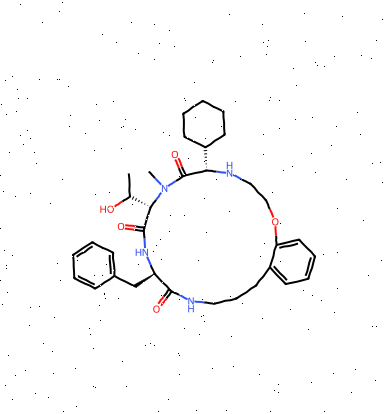 CC(O)[C@H]1C(=O)N[C@H](Cc2ccccc2)C(=O)NCCCc2ccccc2OCCN[C@@H](C2CCCCC2)C(=O)N1C